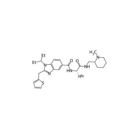 CCC[C@H](NC(=O)c1ccc2c(c1)nc(Cc1cccs1)n2C(CC)CC)C(=O)NCC1CCCCN1C